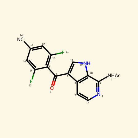 CC(=O)Nc1nccc2c(C(=O)c3c(F)cc(C#N)cc3F)c[nH]c12